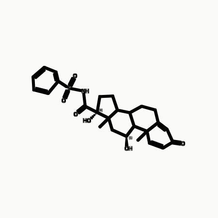 CC12C=CC(=O)C=C1CCC1C2[C@@H](O)CC2(C)C1CC[C@]2(O)C(=O)NS(=O)(=O)c1ccccc1